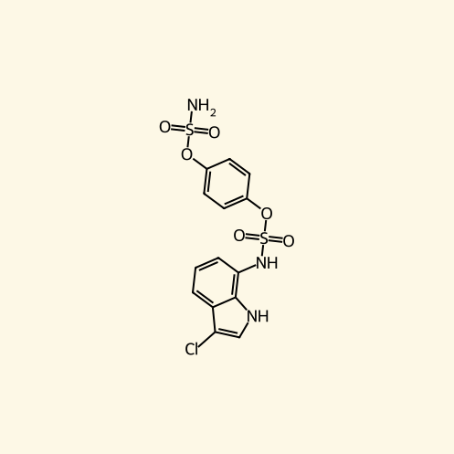 NS(=O)(=O)Oc1ccc(OS(=O)(=O)Nc2cccc3c(Cl)c[nH]c23)cc1